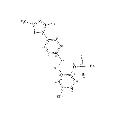 Cn1cc(C(F)(F)F)nc1-c1ccc(COc2nc(Cl)ncc2OC(F)(F)Br)cc1